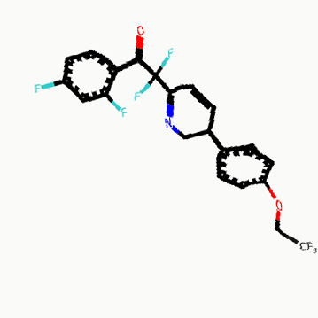 O=C(c1ccc(F)cc1F)C(F)(F)C1=NCC(c2ccc(OCC(F)(F)F)cc2)C=C1